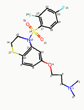 CN(C)CCCOc1ccc2c(c1)N(S(=O)(=O)c1ccc(F)cc1F)CCS2